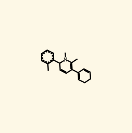 CC1=C(C2=CCCC=C2)C=CC(c2ccccc2C)N1C